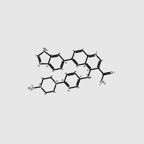 CC(=O)c1cnc2ccc(-c3ccc4nc[nH]c4c3)cc2c1Nc1ccc(N2CCN(C)CC2)nc1